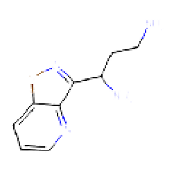 NCCC(N)c1nsc2cccnc12